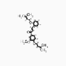 COc1cc(C(=O)C=Cc2ccccc2OCC=C(C)C)ccc1OCC=C(C)C